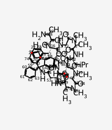 CC(C)C[C@H](NC(=O)[C@H](C)N(C)C(=O)CNC(=O)[C@H](Cc1ccccc1)N(C)C(=O)[C@H](C)N)C(=O)N[C@@H](C)C(=O)N(C)[C@@H](CC(C)C)C(=O)N(C)[C@@H](C)C(=O)N[C@@H](CC(=O)NC(c1ccccc1)(c1ccccc1)c1ccccc1)C(=O)NCC(=O)O